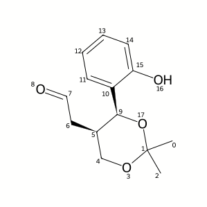 CC1(C)OC[C@@H](CC=O)[C@@H](c2ccccc2O)O1